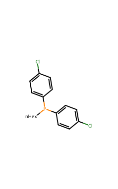 CCCCCCP(c1ccc(Cl)cc1)c1ccc(Cl)cc1